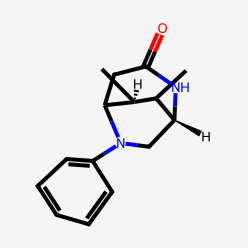 CC1[C@H](C)C2CC(=O)N[C@@H]1CN2c1ccccc1